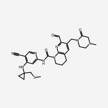 CSCC1(Nc2cc(NC(=O)N3CCCc4cc(CN5CCN(C)CC5=O)c(C=O)nc43)ncc2C#N)CC1